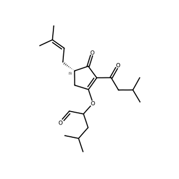 CC(C)=CC[C@H]1CC(OC(C=O)CC(C)C)=C(C(=O)CC(C)C)C1=O